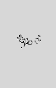 CCCN(c1ccc(C(CC)CC(=O)OC)cc1N)C1CCS(=O)(=O)CC1